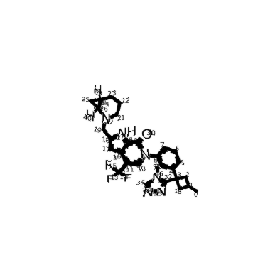 CC1CC(c2cccc(-n3cc(C(F)(F)F)c4cc(CN5CCC[C@H]6C[C@H]65)[nH]c4c3=O)c2)(c2nncn2C)C1